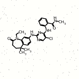 CCN1C(=O)CCC(C)(C)c2ccc(Nc3ncc(Cl)c(Nc4ccccc4C(=O)NC)n3)cc21